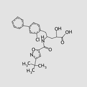 CC(C)(C)c1cc(C(=O)NC(Cc2ccc(-c3ccccc3)cc2Cl)CC(O)C(=O)O)on1